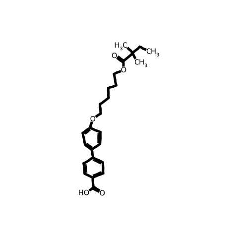 CCC(C)(C)C(=O)OCCCCCCOc1ccc(-c2ccc(C(=O)O)cc2)cc1